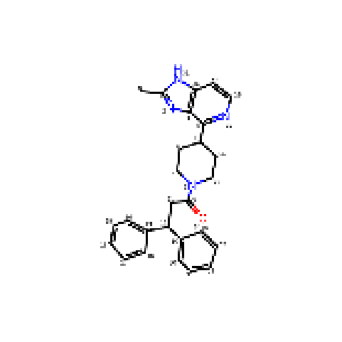 Cc1nc2c(C3CCN(C(=O)CC(c4ccccc4)c4ccccc4)CC3)nccc2[nH]1